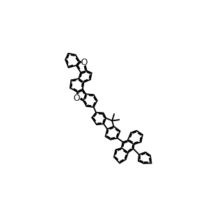 CC1(C)c2cc(-c3ccc4c(c3)oc3ccc5c(ccc6oc7ccccc7c65)c34)ccc2-c2ccc(-c3c4ccccc4c(-c4ccccc4)c4ccccc34)cc21